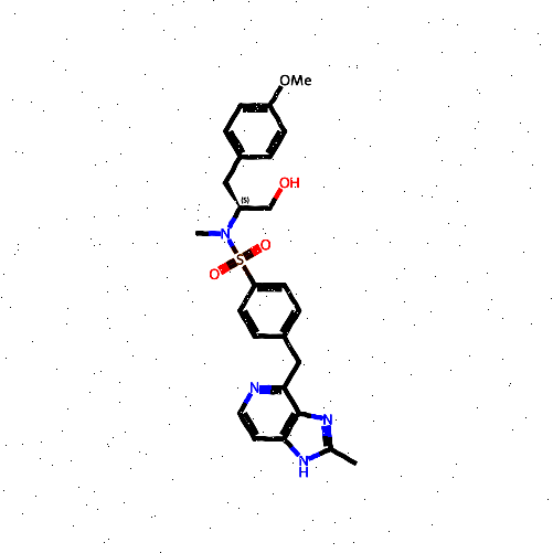 COc1ccc(C[C@@H](CO)N(C)S(=O)(=O)c2ccc(Cc3nccc4[nH]c(C)nc34)cc2)cc1